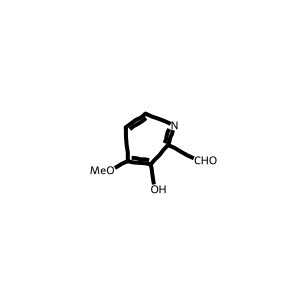 COc1ccnc(C=O)c1O